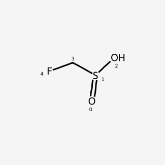 O=S(O)CF